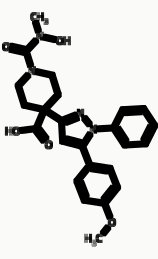 COc1ccc(-c2cc(C3(C(=O)O)CCN(C(=O)N(C)O)CC3)nn2-c2ccccc2)cc1